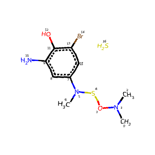 CN(C)OSN(C)c1cc(N)c(O)c(Br)c1.S